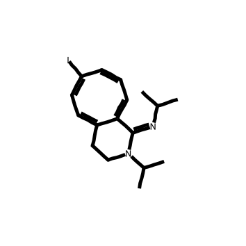 CC(C)/N=C1C2=C\C=C/C(I)=C\C=C/2CCN\1C(C)C